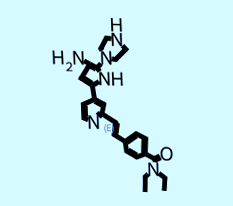 CCN(CC)C(=O)c1ccc(/C=C/c2cc(-c3cc(N)c(N4CCNCC4)[nH]3)ccn2)cc1